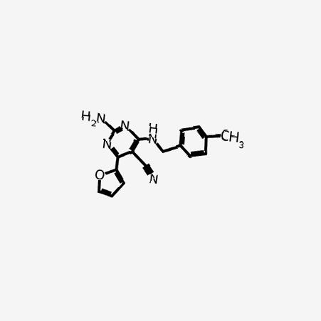 Cc1ccc(CNc2nc(N)nc(-c3ccco3)c2C#N)cc1